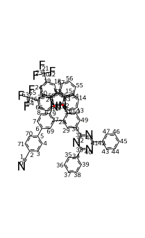 N#Cc1ccc(-c2ccc(-n3c4ccccc4c4cc(C(F)(F)F)ccc43)c(-c3cc(-c4nc(-c5ccccc5)nc(-c5ccccc5)n4)ccc3-n3c4ccccc4c4cc(C(F)(F)F)ccc43)c2)cc1